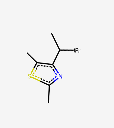 Cc1nc(C(C)C(C)C)c(C)s1